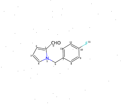 O=Cc1cccn1Cc1ccc(F)cc1